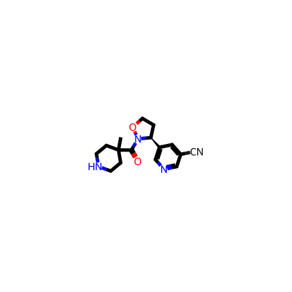 CC1(C(=O)N2OCC[C@H]2c2cncc(C#N)c2)CCNCC1